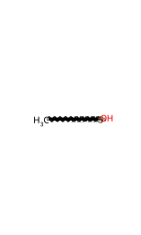 CCCCCCCCCCCCCCCCCCCCSO